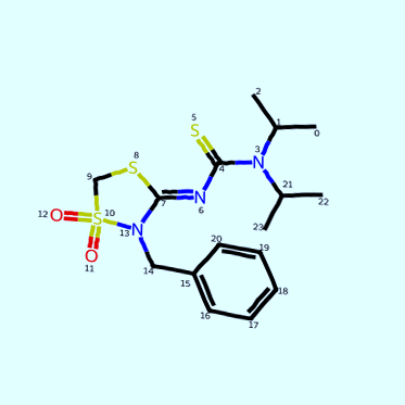 CC(C)N(C(=S)N=C1SCS(=O)(=O)N1Cc1ccccc1)C(C)C